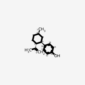 C=C(C)[C@@H]1CC[C@@H](C)C[C@H]1c1ccc(O)cc1